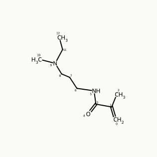 C=C(C)C(=O)NCCCN(C)CC